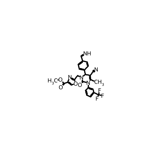 COC(=O)c1coc(CN2C(=O)N(c3cccc(C(F)(F)F)c3)C(C)=C(C#N)C2c2ccc(C=N)cc2)n1